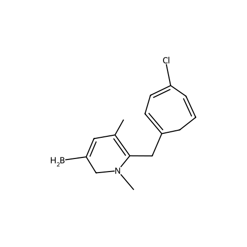 BC1=CC(C)=C(CC2=CC=C(Cl)C=CC2)N(C)C1